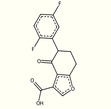 O=C(O)c1coc2c1C(=O)C(c1cc(F)ccc1F)CC2